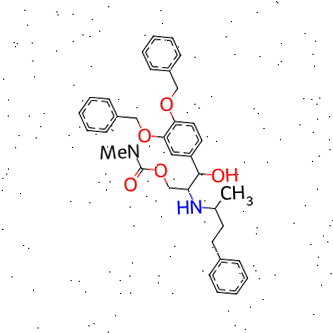 CNC(=O)OCC(NC(C)CCc1ccccc1)C(O)c1ccc(OCc2ccccc2)c(OCc2ccccc2)c1